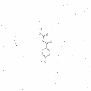 CCOC(=S)SC(=O)c1ccc(Cl)cc1